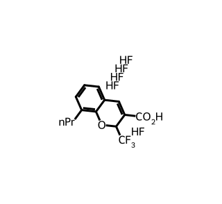 CCCc1cccc2c1OC(C(F)(F)F)C(C(=O)O)=C2.F.F.F.F.F